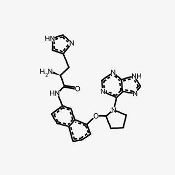 N[C@@H](Cc1c[nH]cn1)C(=O)Nc1ccc2cccc(OC3CCCN3c3ncnc4[nH]cnc34)c2c1